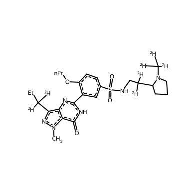 [2H]C([2H])(CC)c1nn(C)c2c(=O)[nH]c(-c3cc(S(=O)(=O)NCC([2H])([2H])C4CCCN4C([2H])([2H])[2H])ccc3OCCC)nc12